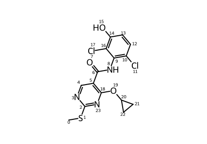 CSc1ncc(C(=O)Nc2c(Cl)ccc(O)c2Cl)c(OC2CC2)n1